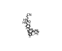 N#CCCNC(=O)Nc1ccc(-c2nc(N3CCOCC3)c3cccn3n2)cc1